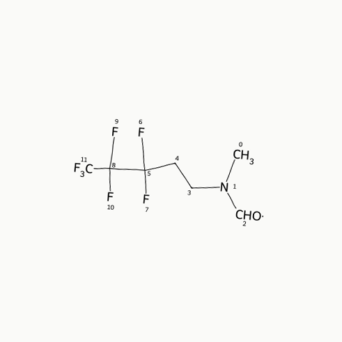 CN([C]=O)CCC(F)(F)C(F)(F)C(F)(F)F